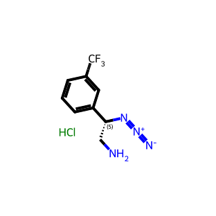 Cl.[N-]=[N+]=N[C@H](CN)c1cccc(C(F)(F)F)c1